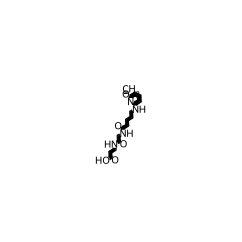 COc1cccc(NCCCCC(=O)NCC(=O)NCCC(=O)O)n1